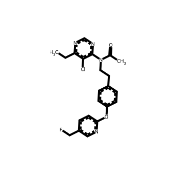 CCc1ncnc(N(CCc2ccc(Oc3ccc(CF)cn3)cc2)C(C)=O)c1Cl